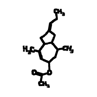 CCC=C1CC2C(C)=CC(OC(C)=O)CC(C)C2C1